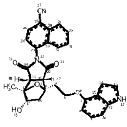 C[C@]12O[C@](CCOc3cccc4[nH]ccc34)(C[C@@H]1O)[C@H]1C(=O)N(c3ccc(C#N)c4ccccc34)C(=O)[C@H]12